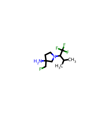 CC(C)C(N1CCC(N)(CF)C1)C(F)(F)F